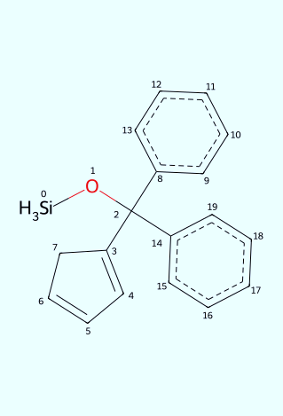 [SiH3]OC(C1=CC=CC1)(c1ccccc1)c1ccccc1